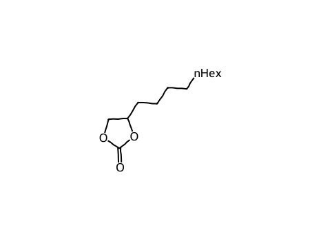 CCCCCCCCCCC1COC(=O)O1